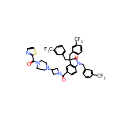 O=C(c1ccc2c(c1)C(Cc1cccc(C(F)(F)F)c1)(Cc1cccc(C(F)(F)F)c1)C(=O)N2Cc1cccc(C(F)(F)F)c1)N1CC(N2CCN(C(=O)c3nccs3)CC2)C1